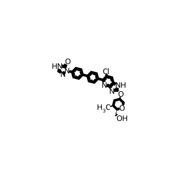 C[C@H]1C[C@@H](Oc2nc3nc(-c4ccc(-c5ccc(-n6nc[nH]c6=O)cc5)cc4)c(Cl)cc3[nH]2)CO[C@@H]1CO